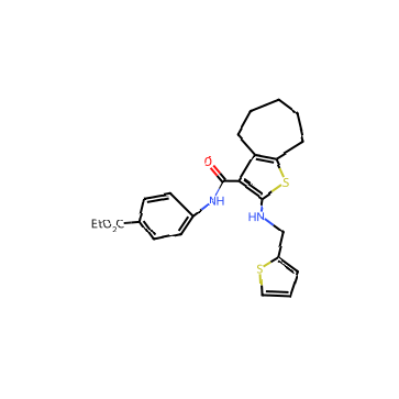 CCOC(=O)c1ccc(NC(=O)c2c(NCc3cccs3)sc3c2CCCCC3)cc1